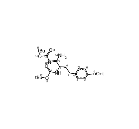 CCCCCCCCc1ccc(CC[C@@H](NC(=O)OC(C)(C)C)/C(N)=N/C(=O)OC(C)(C)C)cc1